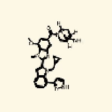 COc1cc(C(=O)N2C[C@H]3CC[C@@H]2C[C@@H]3N)cc2nc(-c3cc4cccc(-c5cc[nH]n5)c4n3CC3CC3)n(C)c12